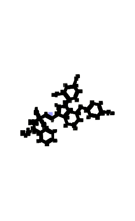 C[C@H](NS(=O)(=O)/C=C/c1nn(-c2ccc(F)cc2F)c2c1CSCC2Cc1ccc(F)cc1)c1ccccc1